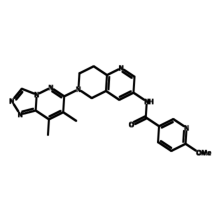 COc1ccc(C(=O)Nc2cnc3c(c2)CN(c2nn4cnnc4c(C)c2C)CC3)cn1